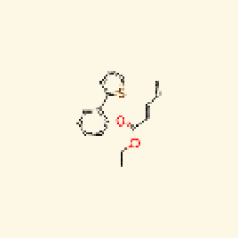 C=CC=CC(=O)OCC.c1ccc(-c2cccs2)cc1